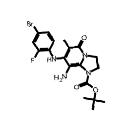 Cc1c(Nc2ccc(Br)cc2F)c(N)c2n(c1=O)CCN2C(=O)OC(C)(C)C